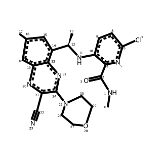 CNC(=O)c1nc(Cl)ccc1N[C@H](C)c1cc(C)cc2nc(C#N)c(N3CCOCC3)nc12